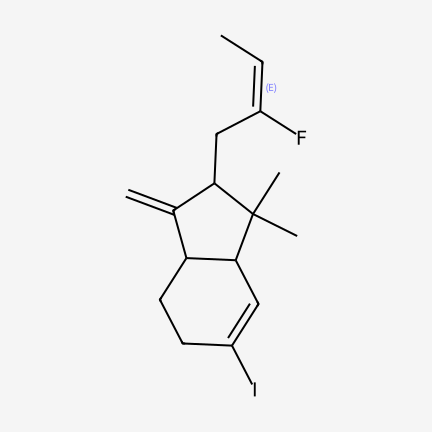 C=C1C2CCC(I)=CC2C(C)(C)C1C/C(F)=C\C